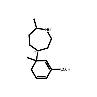 CC1CC[C@H](C2(C)C=C(C(=O)O)C=CC2)CCN1